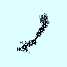 Cc1c(-c2ccc(C#N)c(C(F)(F)F)c2)nn(Cc2ccc(C#CC3CCN(C4CCN(c5ccc6c(c5)C(=O)N(C5CCC(=O)NC5=O)C6=O)CC4)CC3)cc2)c1C